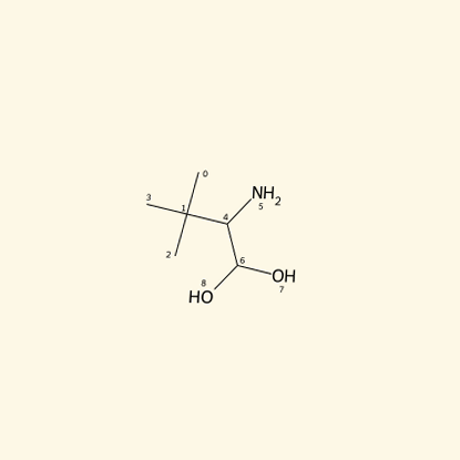 CC(C)(C)C(N)C(O)O